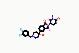 O=C1CCC(N2C(=O)c3ccc(C4(O)CCN(Cc5ccc(F)c(F)c5)CC4)cc3C2=O)C(=O)N1